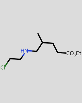 CCOC(=O)CCC(C)CNCCCl